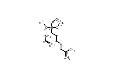 C=C(C)COCCC[Si](OC)(OC)OC.C=C[SiH3]